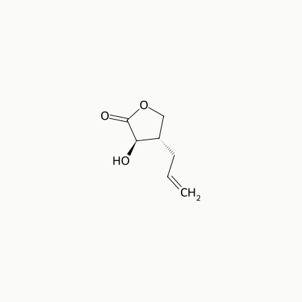 C=CC[C@H]1COC(=O)[C@@H]1O